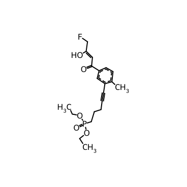 CCOP(=O)(CCCC#Cc1cc(C(=O)/C=C(\O)CF)ccc1C)OCC